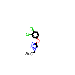 CC(=O)OCn1cc(Oc2ccc(Cl)c(Cl)c2)nn1